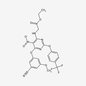 CCOC(=O)CNc1nc(Oc2ccc(C(F)(F)F)cc2)nc(Oc2cc(C#N)cc(OC)c2)c1[N+](=O)[O-]